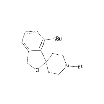 CCN1CCC2(CC1)OCc1cccc(C(C)(C)C)c12